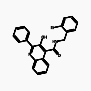 CCc1ccccc1CNC(=O)c1c(O)c(-c2ccccc2)nc2ccccc12